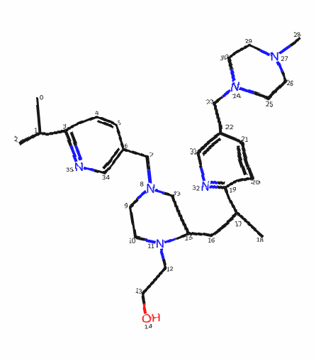 CC(C)c1ccc(CN2CCN(CCO)C(CC(C)c3ccc(CN4CCN(C)CC4)cn3)C2)cn1